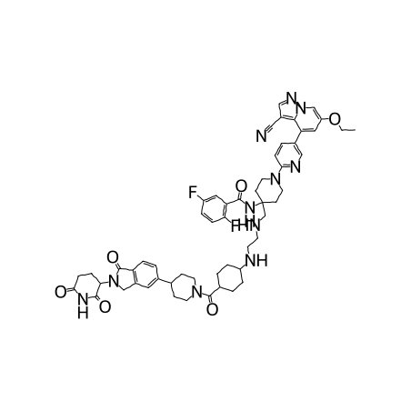 CCOc1cc(-c2ccc(N3CCC(CNCCNC4CCC(C(=O)N5CCC(c6ccc7c(c6)CN(C6CCC(=O)NC6=O)C7=O)CC5)CC4)(NC(=O)c4cc(F)ccc4F)CC3)nc2)c2c(C#N)cnn2c1